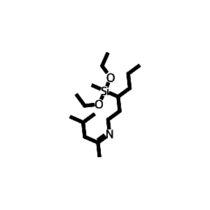 CCCC(CC/N=C(/C)CC(C)C)[Si](C)(OCC)OCC